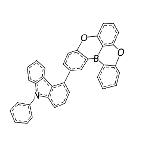 c1ccc(-n2c3ccccc3c3c(-c4ccc5c(c4)B4c6ccccc6Oc6cccc(c64)O5)cccc32)cc1